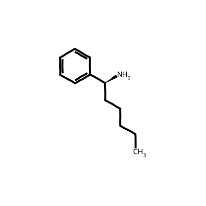 CCCCC[C@H](N)c1ccccc1